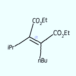 CCCC/C(C(=O)OCC)=C(/C(=O)OCC)C(C)C